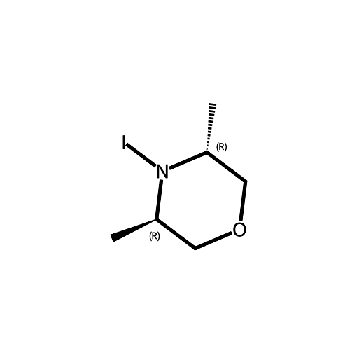 C[C@@H]1COC[C@@H](C)N1I